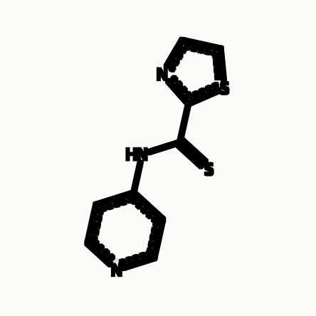 S=C(Nc1ccncc1)c1nccs1